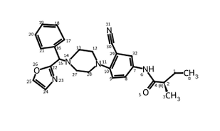 CC[C@@H](C)C(=O)Nc1ccc(N2CCN(C(c3ccccc3)c3ncco3)CC2)c(C#N)c1